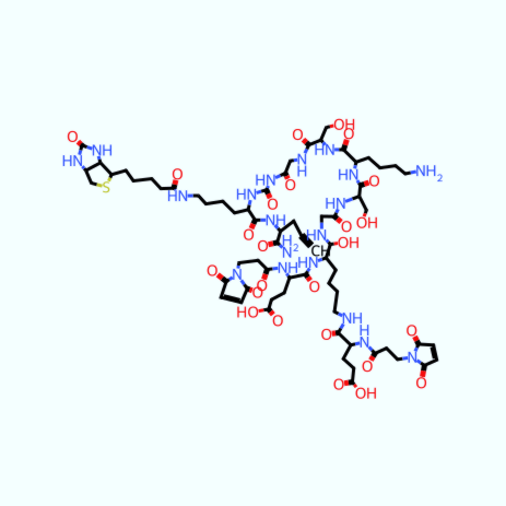 C#CCC(NC(=O)C(CCCCNC(=O)CCCCC1SCC2NC(=O)NC21)NC(=O)NC(=O)CNC(=O)C(CO)NC(=O)C(CCCCN)NC(=O)C(CO)NC(=O)CNC(O)C(CCCCNC(=O)C(CCC(=O)O)NC(=O)CCN1C(=O)C=CC1=O)NC(=O)C(CCC(=O)O)NC(=O)CCN1C(=O)C=CC1=O)C(N)=O